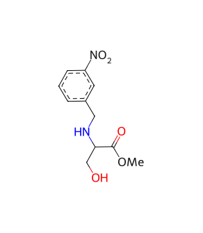 COC(=O)C(CO)NCc1cccc([N+](=O)[O-])c1